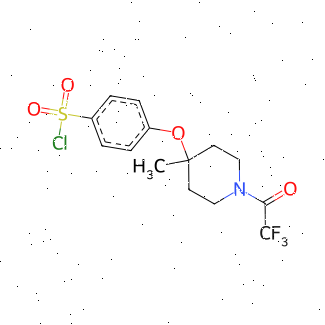 CC1(Oc2ccc(S(=O)(=O)Cl)cc2)CCN(C(=O)C(F)(F)F)CC1